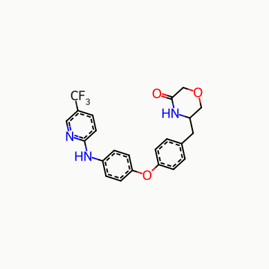 O=C1COCC(Cc2ccc(Oc3ccc(Nc4ccc(C(F)(F)F)cn4)cc3)cc2)N1